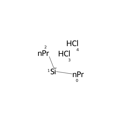 CCC[Si]CCC.Cl.Cl